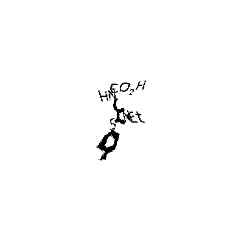 CCN1CC(CCNC(=O)O)C(Sc2ccc(C)cc2)C1